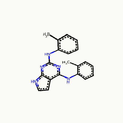 Bc1ccccc1Nc1nc(Nc2ccccc2C)c2cc[nH]c2n1